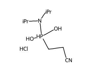 CC(C)N(C(C)C)[PH](O)(O)CCC#N.Cl